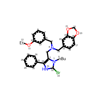 CCCCN1C(CN(Cc2cccc(OCC)c2)Cc2ccc3c(c2)OCO3)=C(c2ccccc2)NC1Br